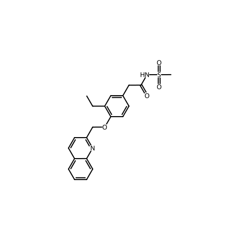 CCc1cc(CC(=O)NS(C)(=O)=O)ccc1OCc1ccc2ccccc2n1